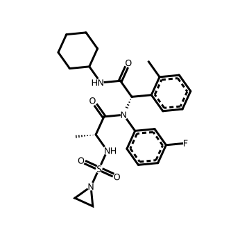 Cc1ccccc1[C@@H](C(=O)NC1CCCCC1)N(C(=O)[C@@H](C)NS(=O)(=O)N1CC1)c1cccc(F)c1